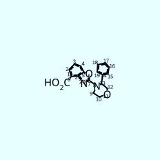 O=C(O)c1cccc2oc(N3CCOCC3c3ccccc3)nc12